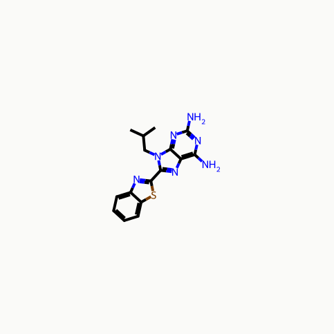 CC(C)Cn1c(-c2nc3ccccc3s2)nc2c(N)nc(N)nc21